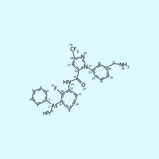 CCC[As](c1ccccc1)c1cccc(NC(=O)c2cc(C(F)(F)F)nn2-c2cccc(CN)c2)c1F